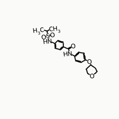 CC(C)S(=O)(=O)Nc1ccc(C(=O)Nc2ccc(OC3CCOCC3)cc2)cc1